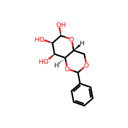 O[C@@H]1[C@H](O)[C@@H]2OC(c3ccccc3)OC[C@H]2O[C@@H]1O